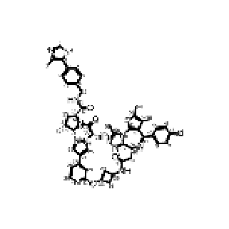 Cc1ncsc1-c1ccc(CNC(=O)[C@@H]2C[C@@H](C)CN2C(=O)[C@H](C(C)C)n2cc(-c3ccnc(OC4CC(NC(=O)C[C@@H]5N=C(c6ccc(Cl)cc6)c6c(sc(C)c6C)-n6c(C)nnc65)C4)c3)cn2)cc1